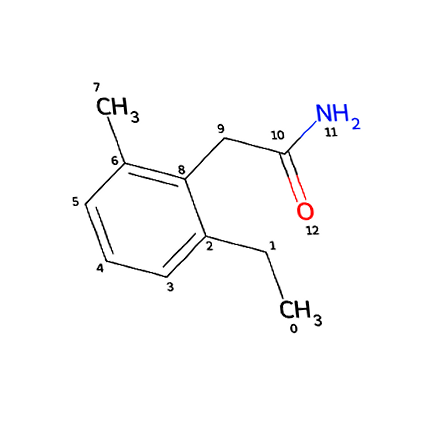 CCc1cccc(C)c1CC(N)=O